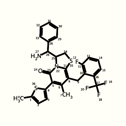 Cc1ccc(-c2c(C)c(Cc3c(F)cccc3C(F)(F)F)c3n(c2=O)C(C(N)c2ccccc2)CS3)s1